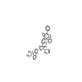 CC1(C)c2ccccc2-c2cc(C3=NC(C4C=CC=CC4)NC(c4cccc5c4Sc4ccccc4C54C5=C(CCC=C5)N(c5ccccc5)C5C=CC=CC54)=N3)ccc21